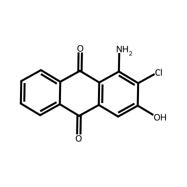 Nc1c(Cl)c(O)cc2c1C(=O)c1ccccc1C2=O